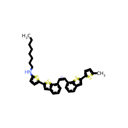 CCCCCCCCNc1ccc(-c2cc3cccc(/C=C\c4cccc5cc(-c6ccc(C)s6)sc45)c3s2)s1